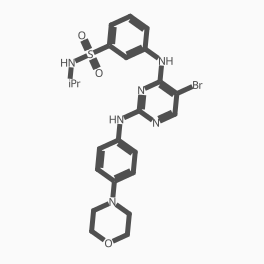 CC(C)NS(=O)(=O)c1cccc(Nc2nc(Nc3ccc(N4CCOCC4)cc3)ncc2Br)c1